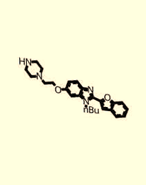 CCCCn1c(-c2cc3ccccc3o2)nc2ccc(OCCN3CCNCC3)cc21